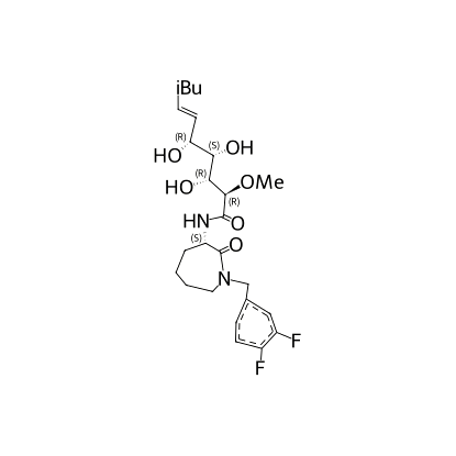 CCC(C)C=C[C@@H](O)[C@H](O)[C@@H](O)[C@@H](OC)C(=O)N[C@H]1CCCCN(Cc2ccc(F)c(F)c2)C1=O